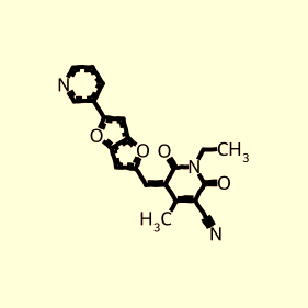 CCN1C(=O)C(C#N)=C(C)/C(=C/c2cc3oc(-c4cccnc4)cc3o2)C1=O